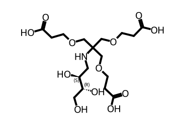 O=C(O)CCOCC(COCCC(=O)O)(COCCC(=O)O)NC[C@H](O)[C@H](O)CO